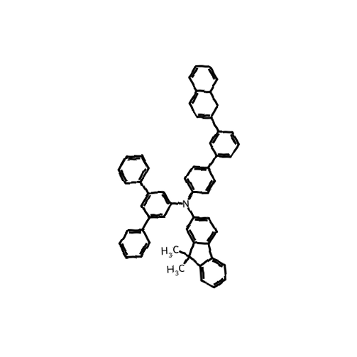 CC1(C)c2ccccc2-c2ccc(N(c3ccc(-c4cccc(C5=CC=C6C=CC=CC6C5)c4)cc3)c3cc(-c4ccccc4)cc(-c4ccccc4)c3)cc21